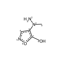 CN(N)c1cnoc1O